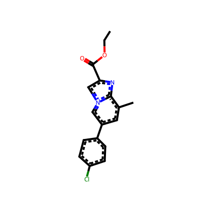 CCOC(=O)c1cn2cc(-c3ccc(Cl)cc3)cc(C)c2n1